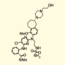 CNC(=O)c1ccccc1Nc1nc(N(CCNS(N)(=O)=O)c2ccc3c(c2OC)CCC[C@H](N2CCN(CCO)CC2)C3)ncc1Cl